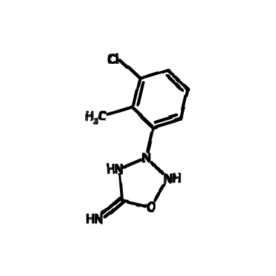 Cc1c(Cl)cccc1N1NOC(=N)N1